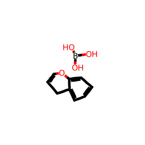 C1=COc2ccccc2C1.OB(O)O